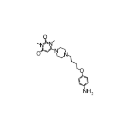 Cn1c(N2CCN(CCCCOc3ccc(N)cc3)CC2)cc(=O)n(C)c1=O